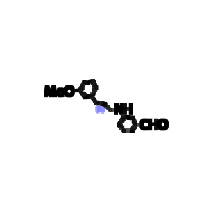 COc1cccc(/C=C/CNc2cccc(C=O)c2)c1